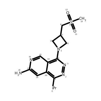 CC(C)c1nnc(N2CC(CS(C)(=O)=O)C2)c2cnc(N)cc12